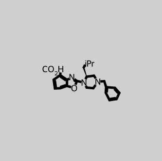 CC(C)C[C@H]1CN(Cc2ccccc2)CCN1c1nc2c(C(=O)O)cccc2o1